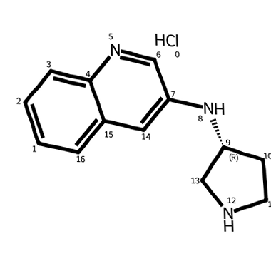 Cl.c1ccc2ncc(N[C@@H]3CCNC3)cc2c1